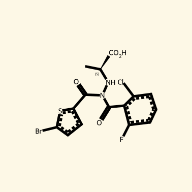 C[C@H](NN(C(=O)c1ccc(Br)s1)C(=O)c1c(F)cccc1Cl)C(=O)O